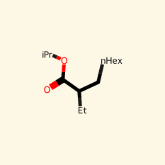 CCCCCCCC(CC)C(=O)OC(C)C